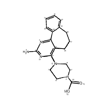 Nc1nc2c(c(N3CCN(C(=O)O)CC3)n1)CCCc1ccccc1-2